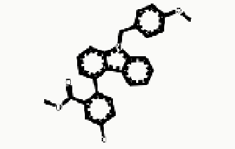 COC(=O)c1cc(Cl)ccc1-c1cccc2c1c1ccccc1n2Cc1ccc(OC)cc1